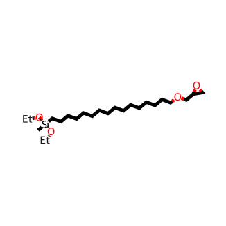 CCO[Si](C)(CCCCCCCCCCCCCCCCOCC1CO1)OCC